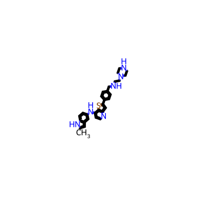 Cc1cc2cc(Nc3ccnc4cc(-c5ccc(CNCCN6CCNCC6)cc5)sc34)ccc2[nH]1